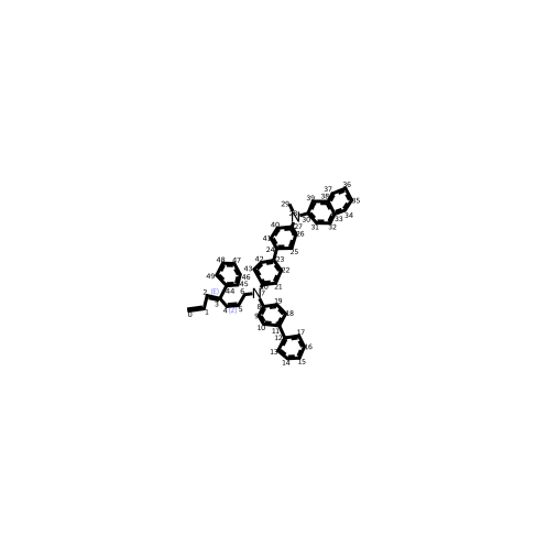 C=C/C=C(\C=C/CN(c1ccc(-c2ccccc2)cc1)c1ccc(-c2ccc(N(C)c3ccc4ccccc4c3)cc2)cc1)c1ccccc1